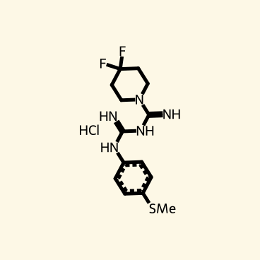 CSc1ccc(NC(=N)NC(=N)N2CCC(F)(F)CC2)cc1.Cl